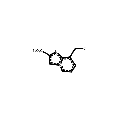 CCOC(=O)c1cn2cccc(CCl)c2n1